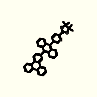 CC1(C)OB(c2ccc(-c3c4ccccc4c(-c4ccc5c6ccccc6c6ccccc6c5c4)c4ccccc34)cn2)OC1(C)C